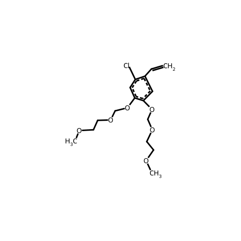 C=Cc1cc(OCOCCOC)c(OCOCCOC)cc1Cl